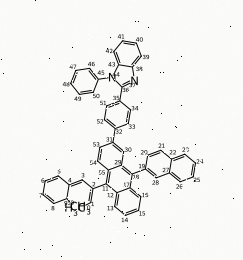 C/C=C(\C=C1\C=CC=CC1C)c1c2ccccc2c(-c2ccc3ccccc3c2)c2cc(-c3ccc(-c4nc5ccccc5n4-c4ccccc4)cc3)ccc12